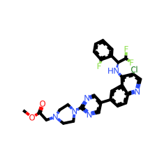 COC(=O)CN1CCN(c2ncc(-c3ccc4ncc(Cl)c(N[C@@H](c5ccccc5F)C(F)F)c4c3)cn2)CC1